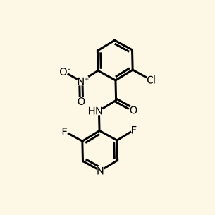 O=C(Nc1c(F)cncc1F)c1c(Cl)cccc1[N+](=O)[O-]